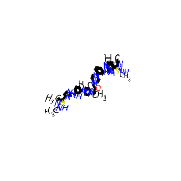 CNc1nc(C)c(-c2ccnc(Nc3cccc(N4CCN(C(C)C(=O)C(C)N5CCN(c6cccc(Nc7nccc(-c8sc(NC)nc8C)n7)c6)CC5)CC4)c3)n2)s1